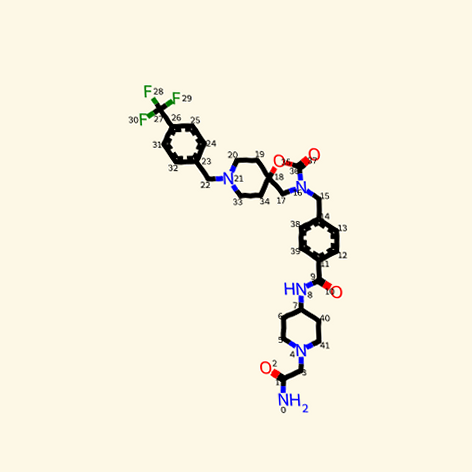 NC(=O)CN1CCC(NC(=O)c2ccc(CN3CC4(CCN(Cc5ccc(C(F)(F)F)cc5)CC4)OC3=O)cc2)CC1